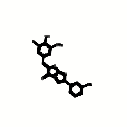 COc1cc(/C=c2\sc3nc(-c4cccc(C#N)c4)cn3c2=O)cc(F)c1O